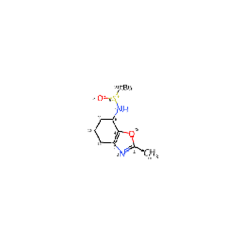 Cc1nc2c(o1)C(N[S+]([O-])C(C)(C)C)CCC2